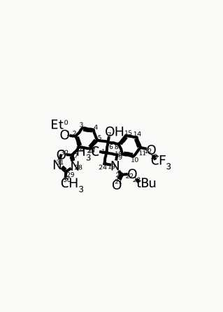 CCOc1ccc(C(O)(c2ccc(OC(F)(F)F)cc2)C2(C)CN(C(=O)OC(C)(C)C)C2)cc1-c1nc(C)no1